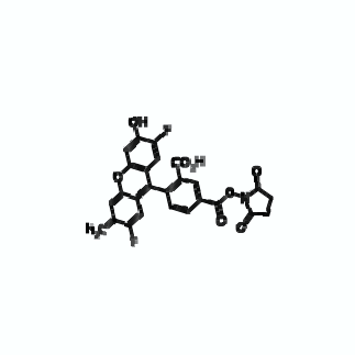 C=c1cc2c(cc1F)=C(c1ccc(C(=O)ON3C(=O)CCC3=O)cc1C(=O)O)c1cc(F)c(O)cc1O2